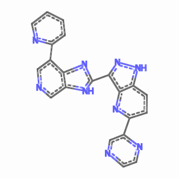 c1ccc(-c2cncc3[nH]c(-c4n[nH]c5ccc(-c6cnccn6)nc45)nc23)nc1